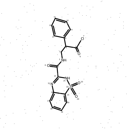 O=C(NCC(C(=O)Cl)c1ccccc1)C1=Nc2ccccc2S(=O)(=O)N1